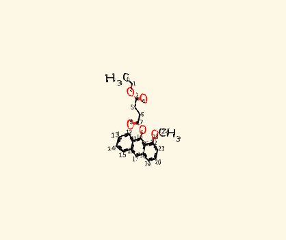 CCOC(=O)CCC(=O)Oc1c2ccccc2cc2cccc(OC)c12